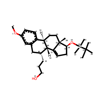 COc1ccc2c(c1)C[C@@H](CCCO)[C@H]1C3=CC[C@H](O[Si](C)(C)C(C)(C)C)[C@@]3(C)CC[C@H]21